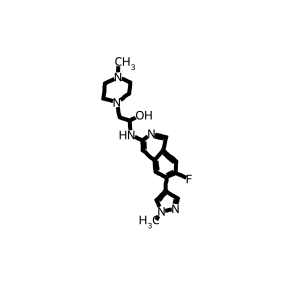 CN1CCN(CC(O)Nc2cc3cc(-c4cnn(C)c4)c(F)cc3cn2)CC1